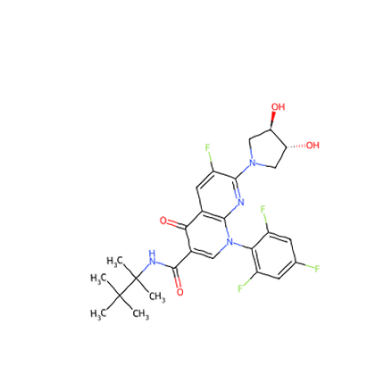 CC(C)(C)C(C)(C)NC(=O)c1cn(-c2c(F)cc(F)cc2F)c2nc(N3C[C@@H](O)[C@H](O)C3)c(F)cc2c1=O